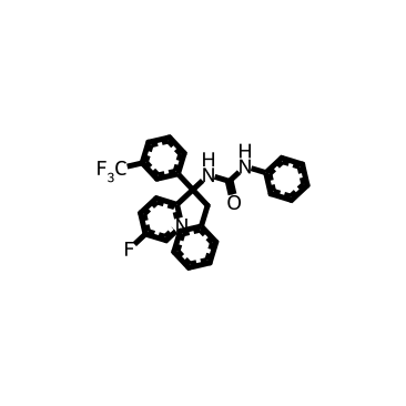 O=C(Nc1ccccc1)NC(Cc1ccccc1)(c1cccc(C(F)(F)F)c1)c1ccc(F)cn1